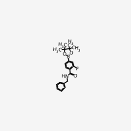 CC1(C)OB(c2ccc(C(=O)NCc3ccccc3)c(F)c2)OC1(C)C